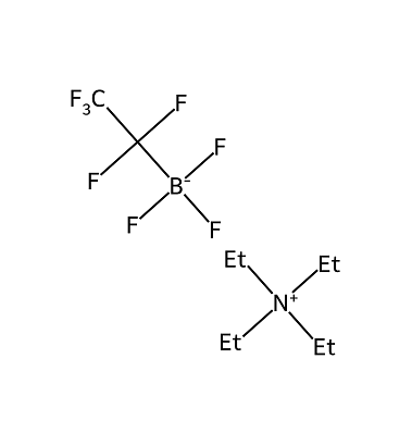 CC[N+](CC)(CC)CC.F[B-](F)(F)C(F)(F)C(F)(F)F